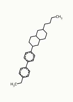 CCCCC1CCC2CC(c3ccc(-c4ccc(CC)cc4)cc3)CCC2C1